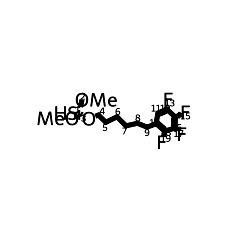 CO[SiH](OC)OCCCCCCc1cc(F)c(F)c(F)c1F